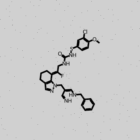 COc1ccc(SNC(=O)NC/C(F)=C2\CCCc3cnn(C/C(C=N)=C/NCc4ccccc4)c32)cc1Cl